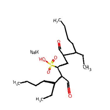 CCCCC(CC)C(C=O)CC(C(C=O)C(CC)CCCC)S(=O)(=O)O.[NaH]